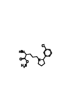 BOC(=O)C(CCCC)CCCN1CCCC1c1cccc(Cl)c1